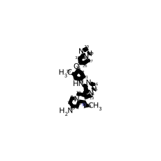 C/C=C/C1C[C@@H](N)CCN1Cc1ccn2ncnc(Nc3ccc(Oc4ccn5ncnc5c4)c(C)c3)c12